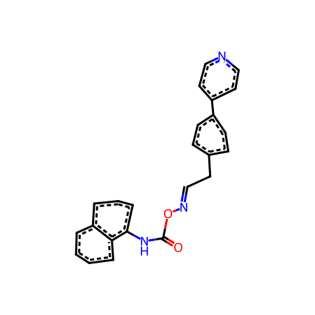 O=C(Nc1cccc2ccccc12)ON=CCc1ccc(-c2ccncc2)cc1